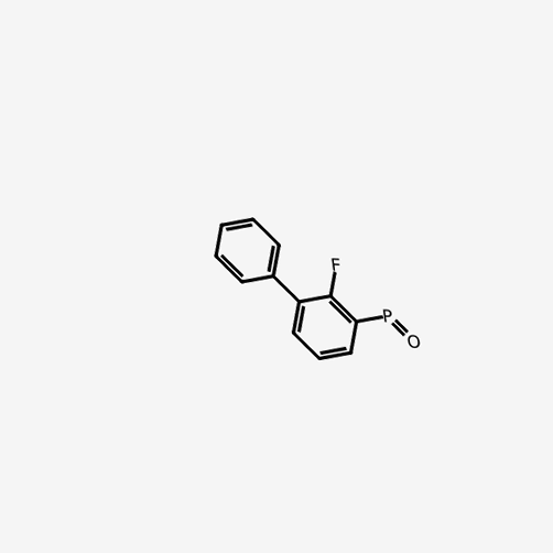 O=Pc1cccc(-c2ccccc2)c1F